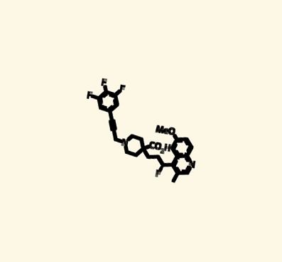 COc1ccc2ncc(C)c([C@@H](F)CCC3(C(=O)O)CCN(CC#Cc4cc(F)c(F)c(F)c4)CC3)c2c1